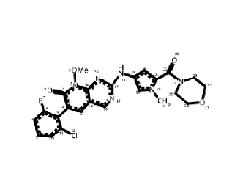 COn1c(=O)c(-c2c(F)cccc2Cl)cc2cnc(Nc3cc(C(=O)N4CCOCC4)n(C)c3)nc21